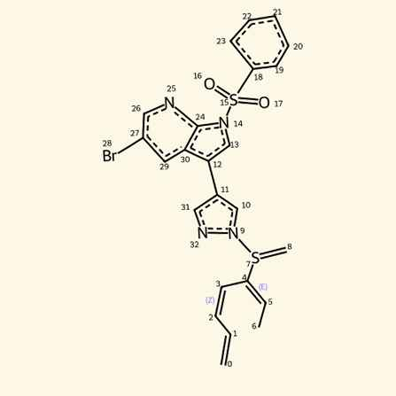 C=C/C=C\C(=C/C)S(=C)n1cc(-c2cn(S(=O)(=O)c3ccccc3)c3ncc(Br)cc23)cn1